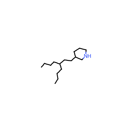 CCCCC(CCCC)CCC1CCCNC1